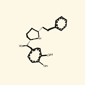 Oc1ccc(C(O)[C@@H]2CC[C@H](CCc3ccccc3)N2)cc1O